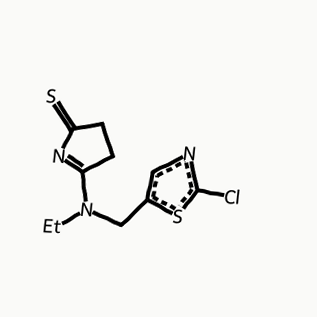 CCN(Cc1cnc(Cl)s1)C1=NC(=S)CC1